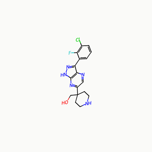 OCC1(c2cnc3c(-c4cccc(Cl)c4F)n[nH]c3n2)CCNCC1